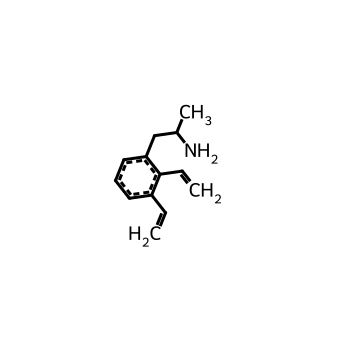 C=Cc1cccc(CC(C)N)c1C=C